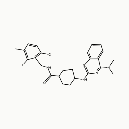 Cc1ccc(Cl)c(CNC(=O)C2CCC(Nc3nc(N(C)C)c4ccccc4n3)CC2)c1F